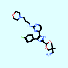 CC1(CN)COC(c2nc(-c3ccc(F)cc3)c(-c3ccnc(NCCCN4CCOCC4)n3)[nH]2)OC1